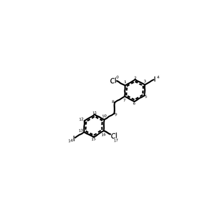 Clc1cc(I)ccc1CCc1ccc(I)cc1Cl